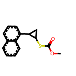 COC(=O)SC1CC1c1cccc2ccccc12